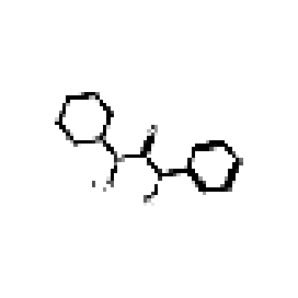 NN(C(=O)[C@H](O)c1ccccc1)C1CCCCC1